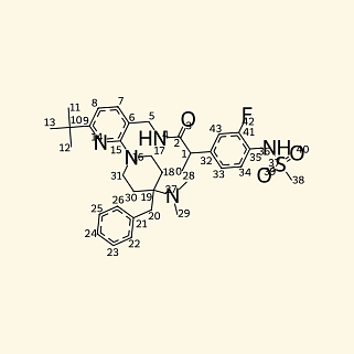 CC(C(=O)NCc1ccc(C(C)(C)C)nc1N1CCC(Cc2ccccc2)(N(C)C)CC1)c1ccc(NS(C)(=O)=O)c(F)c1